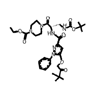 CCOC(=O)N1CCN(C(=O)[C@H](CNC(=O)OC(C)(C)C)NC(=O)c2cc(OCC(=O)C(C)(C)C)n(-c3ccccc3)n2)CC1